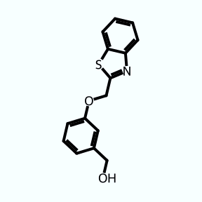 OCc1cccc(OCc2nc3ccccc3s2)c1